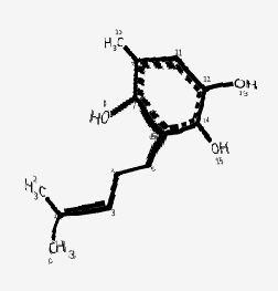 CC(C)=CCCc1c(O)c(C)cc(O)c1O